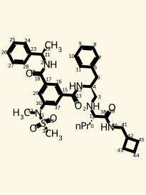 CCC[C@H](NC[C@H](Cc1ccccc1)NC(=O)c1cc(C(=O)N[C@H](C)c2ccccc2)cc(N(C)S(C)(=O)=O)c1)C(=O)NCC1CCC1